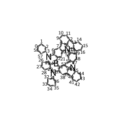 c1ccc(N2c3cc4c5cccc6c7ccccc7n(c4cc3B3c4c2cccc4N(c2ccccc2)c2cc4c7ccccc7n7c8ccccc8c(c23)c47)c65)cc1